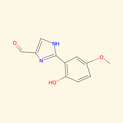 COc1ccc(O)c(-c2nc(C=O)c[nH]2)c1